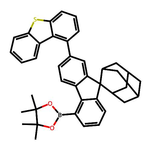 CC1(C)OB(c2cccc3c2-c2ccc(-c4cccc5sc6ccccc6c45)cc2C32C3CC4CC(C3)CC2C4)OC1(C)C